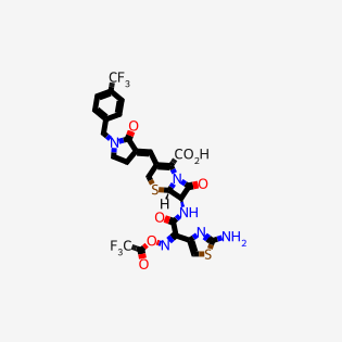 Nc1nc(/C(=N/OC(=O)C(F)(F)F)C(=O)N[C@@H]2C(=O)N3C(C(=O)O)=C(/C=C4\CCN(Cc5ccc(C(F)(F)F)cc5)C4=O)CS[C@H]23)cs1